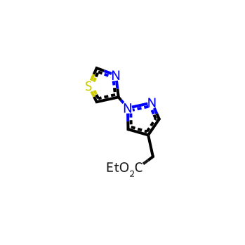 CCOC(=O)Cc1cnn(-c2cscn2)c1